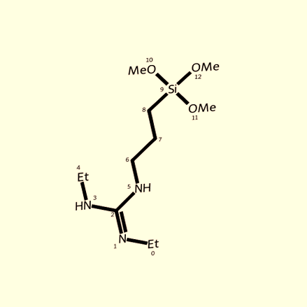 CCN=C(NCC)NCCC[Si](OC)(OC)OC